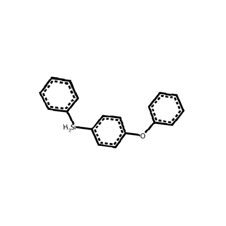 c1ccc(Oc2ccc([SiH2]c3ccccc3)cc2)cc1